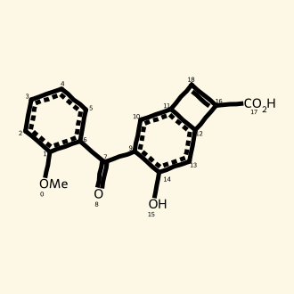 COc1ccccc1C(=O)c1cc2c(cc1O)C(C(=O)O)=C2